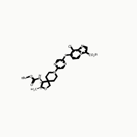 CCOC(=O)c1cnc2c(Cl)c(Sc3cnc(N4CCC5(CC4)CO[C@@H](C)[C@H]5NC(=O)OC(C)(C)C)cn3)ccn12